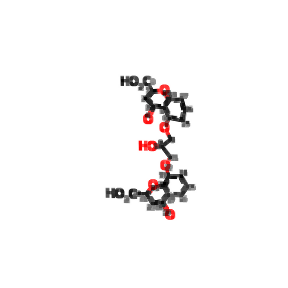 O=C(O)c1cc(=O)c2c(OCC(O)COc3cccc4c(=O)cc(C(=O)O)oc34)cccc2o1